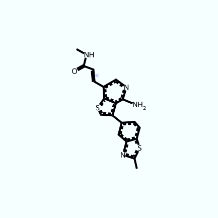 CNC(=O)/C=C/c1cnc(N)c2c(-c3ccc4sc(C)nc4c3)csc12